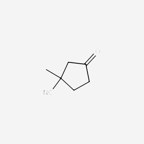 CC1(C#N)CCC(=O)C1